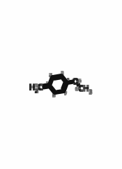 C=C1C=CC(OC)=CC1